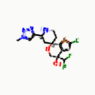 Cn1cc([C@@H]2C[C@]3(CCN2)OCC(O)(C(F)F)c2cc(Cl)sc23)nn1